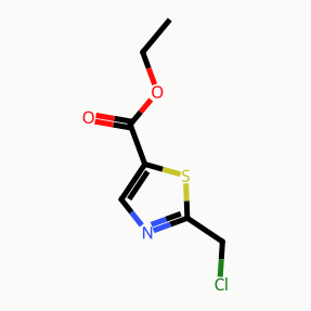 CCOC(=O)c1cnc(CCl)s1